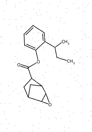 CCC(C)c1ccccc1OC(=O)C1CC2CC1C1OC21